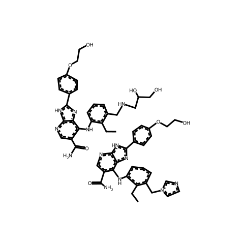 CCc1c(CNCC(O)CO)cccc1Nc1c(C(N)=O)cnc2[nH]c(-c3ccc(OCCO)cc3)nc12.CCc1c(Cn2ccnc2)cccc1Nc1c(C(N)=O)cnc2[nH]c(-c3ccc(OCCO)cc3)nc12